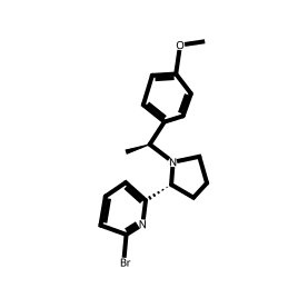 COc1ccc([C@H](C)N2CCC[C@@H]2c2cccc(Br)n2)cc1